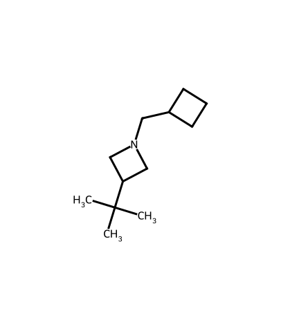 CC(C)(C)C1CN(CC2CCC2)C1